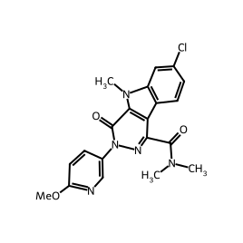 COc1ccc(-n2nc(C(=O)N(C)C)c3c4ccc(Cl)cc4n(C)c3c2=O)cn1